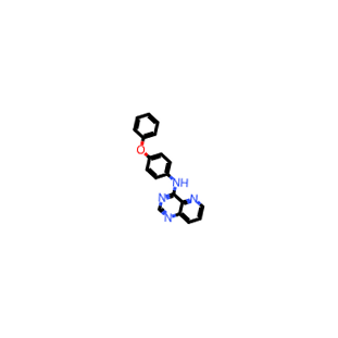 c1ccc(Oc2ccc(Nc3ncnc4cccnc34)cc2)cc1